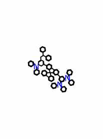 C1=C(CC(c2ccccc2)c2ccccc2)C=C(c2ccc3c(c2)C2(c4ccccc4-c4ccccc42)c2cc(-c4cc(N(c5ccccc5)c5ccccc5)cc(N(c5ccccc5)c5ccccc5)c4)ccc2-3)CC1N(c1ccccc1)c1ccccc1